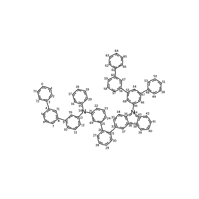 c1ccc(-c2cccc(-c3cccc(N(c4ccccc4)c4cccc(-c5ccccc5-c5ccc6c(c5)c5ccccc5n6-c5cc(-c6ccccc6)cc(-c6cccc(-c7ccccc7)c6)c5)c4)c3)c2)cc1